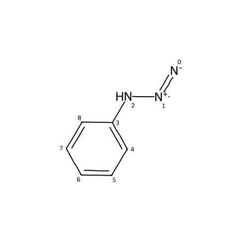 [N-]=[N+]Nc1ccccc1